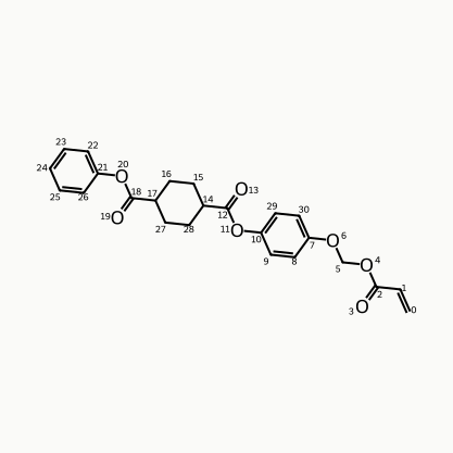 C=CC(=O)OCOc1ccc(OC(=O)C2CCC(C(=O)Oc3ccccc3)CC2)cc1